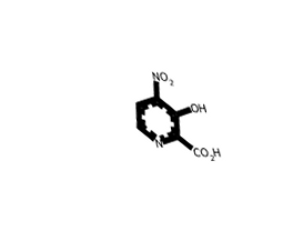 O=C(O)c1nccc([N+](=O)[O-])c1O